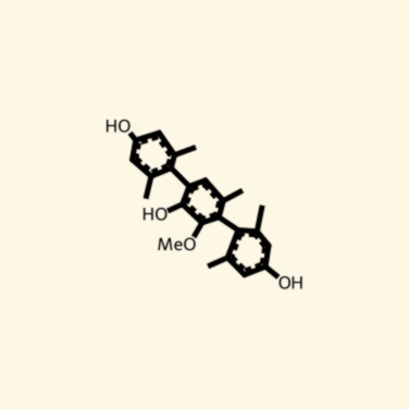 COc1c(O)c(-c2c(C)cc(O)cc2C)cc(C)c1-c1c(C)cc(O)cc1C